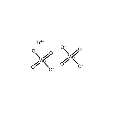 [O]=[Mn](=[O])([O-])[O-].[O]=[Mn](=[O])([O-])[O-].[Ti+4]